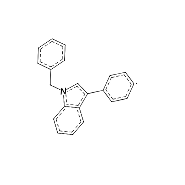 [c]1ccc(-c2cn(Cc3ccccc3)c3ccccc23)cc1